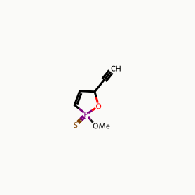 C#CC1C=CP(=S)(OC)O1